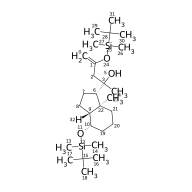 C=C(CC(C)(O)[C@H]1CC[C@H]2[C@@H](O[Si](C)(C)C(C)(C)C)CCC[C@]12C)O[Si](C)(C)C(C)(C)C